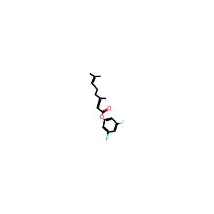 CC(C)=CCC/C(C)=C/C(=O)Oc1cc(F)cc(F)c1